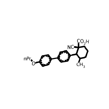 CCCOc1ccc(-c2ccc(C3C(C)CCCC3(C#N)C(=O)O)cc2)cc1